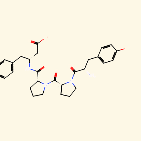 N[C@@H](Cc1ccc(O)cc1)C(=O)N1CCC[C@H]1C(=O)N1CCC[C@H]1C(=O)N[C@H](CC(=O)O)Cc1ccccc1